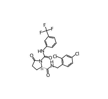 O=C(NCc1ccc(Cl)cc1Cl)[C@@H]1CCC(=O)N1C(=O)Nc1cccc(C(F)(F)F)c1